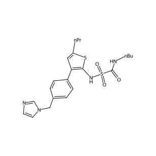 CCCCNC(=O)S(=O)(=O)Nc1sc(CCC)cc1-c1ccc(Cn2ccnc2)cc1